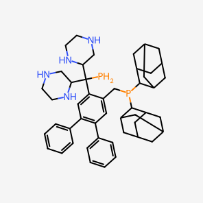 PC(c1cc(-c2ccccc2)c(-c2ccccc2)cc1CP(C1C2CC3CC(C2)CC1C3)C1C2CC3CC(C2)CC1C3)(C1CNCCN1)C1CNCCN1